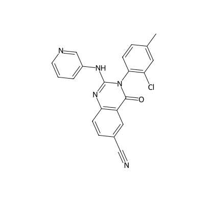 Cc1ccc(-n2c(Nc3cccnc3)nc3ccc(C#N)cc3c2=O)c(Cl)c1